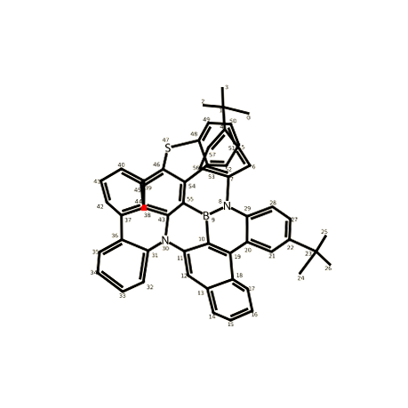 CC(C)(C)c1ccc(N2B3c4c(cc5ccccc5c4-c4cc(C(C)(C)C)ccc42)N(c2ccccc2-c2ccccc2)c2ccc4sc5ccccc5c4c23)cc1